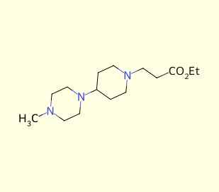 CCOC(=O)CCN1CCC(N2CCN(C)CC2)CC1